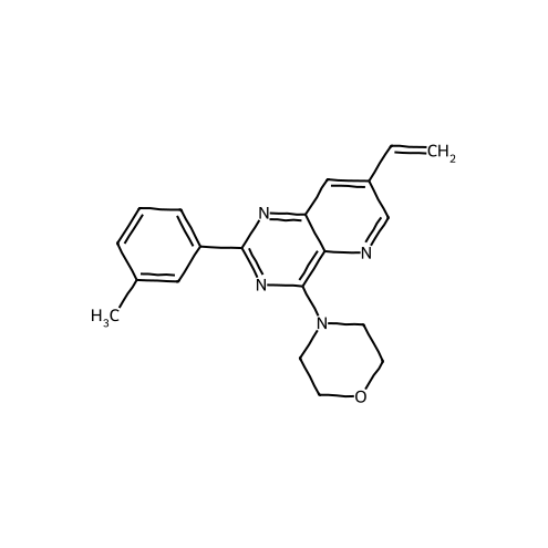 C=Cc1cnc2c(N3CCOCC3)nc(-c3cccc(C)c3)nc2c1